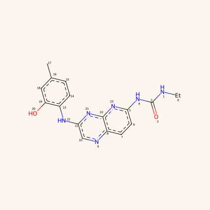 CCNC(=O)Nc1ccc2ncc(Nc3ccc(C)cc3O)nc2n1